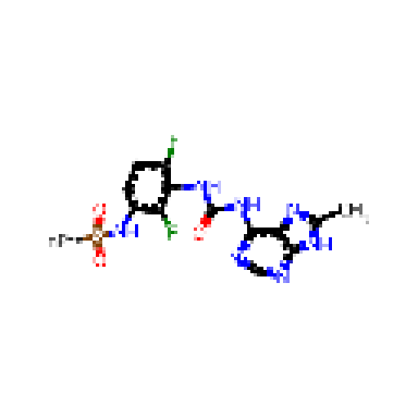 CCCS(=O)(=O)Nc1ccc(F)c(NC(=O)Nc2ncnc3[nH]c(C)nc23)c1F